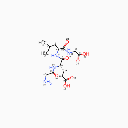 CC(C)C[C@H](NC(=O)[C@H](CCC(=O)O)NC(=O)CN)C(=O)NCC(=O)O